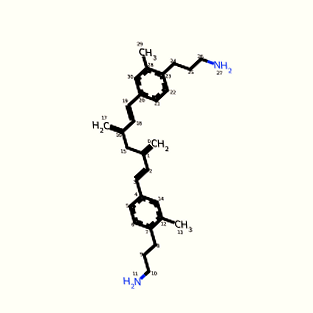 C=C(/C=C/c1ccc(CCCN)c(C)c1)CC(=C)/C=C/c1ccc(CCCN)c(C)c1